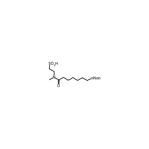 CCCCCCCCCCCCCCCC(=O)N(C)CCS(=O)(=O)O